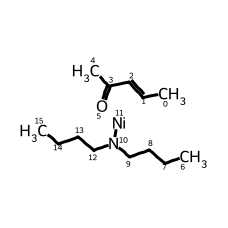 CC=CC(C)=O.CCCC[N]([Ni])CCCC